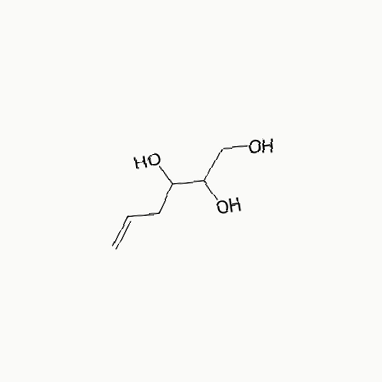 C=CCC(O)C(O)CO